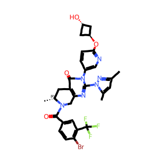 Cc1cc(C)n(-c2nc3c(c(=O)n2-c2ccc(O[C@H]4C[C@H](O)C4)nc2)C[C@@H](C)N(C(=O)c2ccc(Br)c(C(F)(F)F)c2)C3)n1